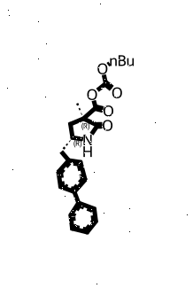 CCCCOC(=O)OC(=O)[C@]1(C)C[C@@H](Cc2ccc(-c3ccccc3)cc2)NC1=O